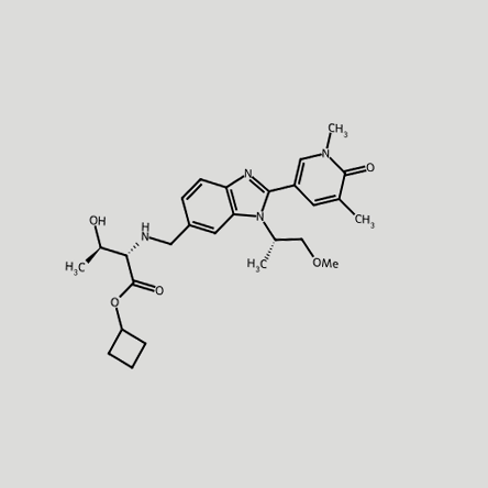 COC[C@H](C)n1c(-c2cc(C)c(=O)n(C)c2)nc2ccc(CN[C@H](C(=O)OC3CCC3)[C@@H](C)O)cc21